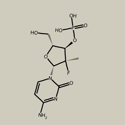 C[C@@]1(F)[C@H](OP(=O)(O)O)[C@@H](CO)O[C@H]1n1ccc(N)nc1=O